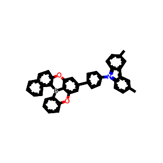 Cc1ccc2c(c1)c1cc(C)ccc1n2-c1ccc(-c2cc3c4c(c2)Oc2ccc5ccccc5c2B4c2ccccc2O3)cc1